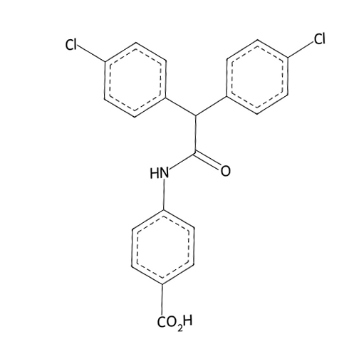 O=C(O)c1ccc(NC(=O)C(c2ccc(Cl)cc2)c2ccc(Cl)cc2)cc1